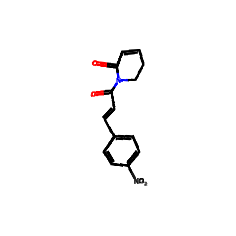 O=C1C=CCCN1C(=O)C=Cc1ccc([N+](=O)[O-])cc1